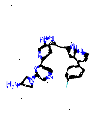 NC1CN(c2cncc(-c3cc4c(-c5cc6c(-c7ccc(F)cc7)ccnc6[nH]5)n[nH]c4cn3)n2)C1